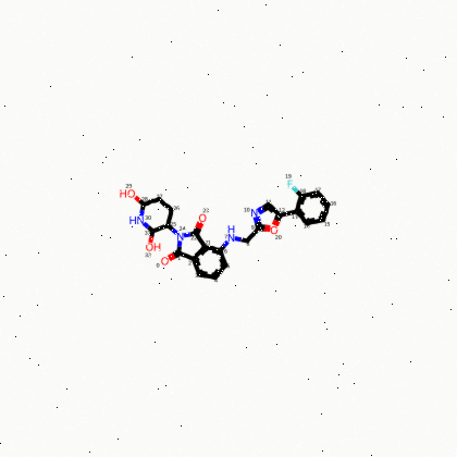 O=C1c2cccc(NCc3ncc(-c4ccccc4F)o3)c2C(=O)N1C1CCC(O)NC1O